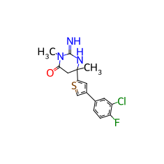 CN1C(=N)NC(C)(c2cc(-c3ccc(F)c(Cl)c3)cs2)CC1=O